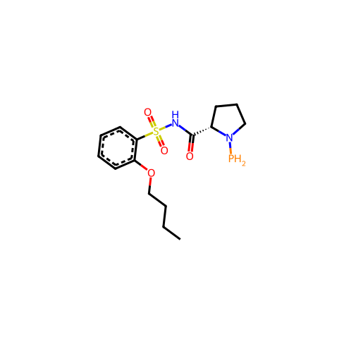 CCCCOc1ccccc1S(=O)(=O)NC(=O)[C@@H]1CCCN1P